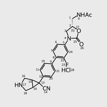 CC(=O)NC[C@H]1CN(c2ccc(-c3ccc(C4(C#N)C5CNCC54)cc3)c(F)c2)C(=O)O1.Cl